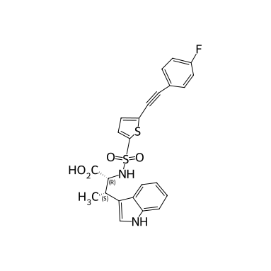 C[C@@H](c1c[nH]c2ccccc12)[C@@H](NS(=O)(=O)c1ccc(C#Cc2ccc(F)cc2)s1)C(=O)O